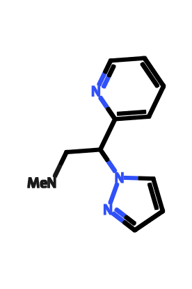 CNCC(c1ccccn1)n1cccn1